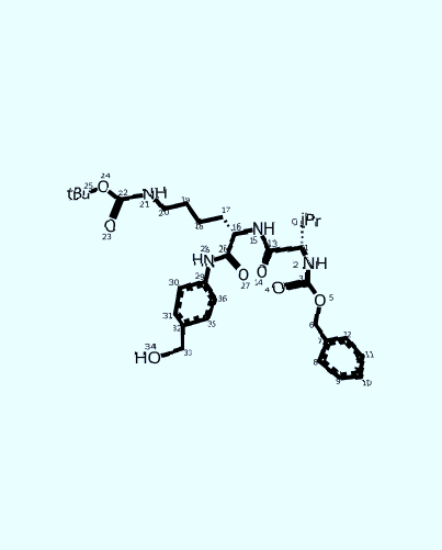 CC(C)[C@H](NC(=O)OCc1ccccc1)C(=O)N[C@@H](CCCCNC(=O)OC(C)(C)C)C(=O)Nc1ccc(CO)cc1